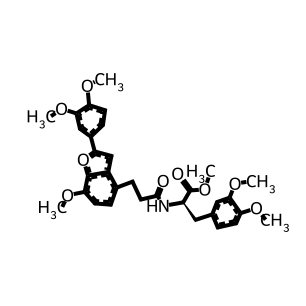 COC(=O)[C@@H](Cc1ccc(OC)c(OC)c1)NC(=O)CCc1ccc(OC)c2oc(-c3ccc(OC)c(OC)c3)cc12